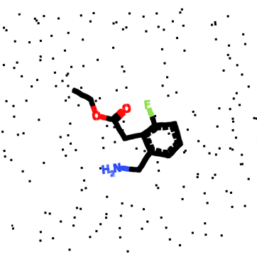 CCOC(=O)Cc1c(F)cccc1CN